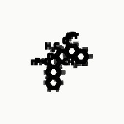 CCCOC1CC2CCCCC2CC1C(C)C(=O)C(C)C1CC2CCCCC2CC1OCCC